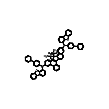 C[Si](C)(C)C1([Si](C)(C)C)c2c(ccc3cc(N(c4ccc(-c5ccccc5)cc4)c4cccc5c4oc4ccccc45)ccc23)-c2c1c1ccc(N(c3ccc(-c4ccccc4)cc3)c3cccc4c3oc3ccccc34)cc1c1ccccc21